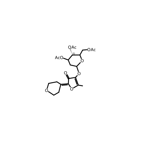 CC(=O)OCC1OC(OC2=C(C)OC(=C3CCOCC3)C2=O)CC(OC(C)=O)[C@@H]1OC(C)=O